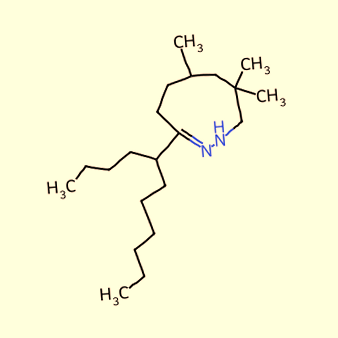 CCCCCCC(CCCC)/C1=N/NCC(C)(C)CC(C)CC1